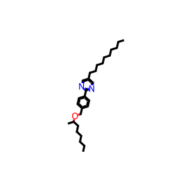 CCCCCCCCCCc1cnc(-c2ccc(COC(C)CCCCCC)cc2)nc1